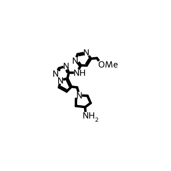 COCc1cc(Nc2ncnn3ccc(CN4CCC(N)CC4)c23)ncn1